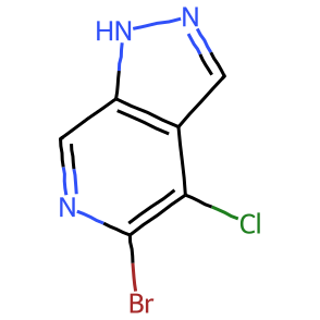 Clc1c(Br)ncc2[nH]ncc12